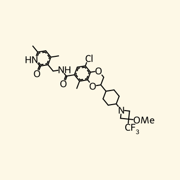 COC1(C(F)(F)F)CN(C2CCC(C3COc4c(Cl)cc(C(=O)NCc5c(C)cc(C)[nH]c5=O)c(C)c4O3)CC2)C1